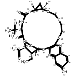 CC[C@@H]1[C@@H]2CN(C(=O)[C@H](C(C)(C)C)NC(=O)O[C@@H]3C[C@H]3CCCCCCc3nc4ccc(O)cc4nc3O2)[C@@H]1C(C)=O